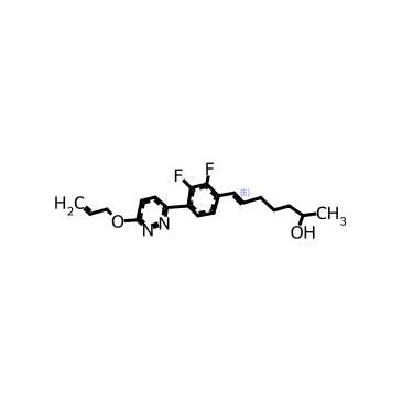 C=CCOc1ccc(-c2ccc(/C=C/CCCC(C)O)c(F)c2F)nn1